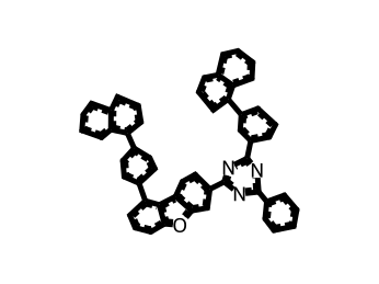 c1ccc(-c2nc(-c3cccc(-c4cccc5ccccc45)c3)nc(-c3ccc4c(c3)oc3cccc(-c5ccc(-c6cccc7ccccc67)cc5)c34)n2)cc1